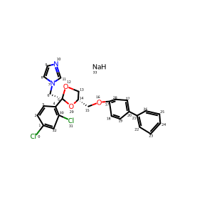 Clc1ccc([C@@]2(Cn3ccnc3)OC[C@H](COc3ccc(-c4ccccc4)cc3)O2)c(Cl)c1.[NaH]